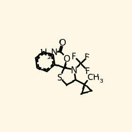 CC1(C2CSC(OC(N)=O)(c3ccccc3)N2C(F)(F)F)CC1